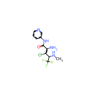 CNC(/C(Cl)=C(\N)C(=O)Nc1cccnc1)C(F)(F)F